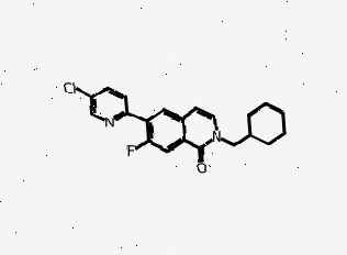 O=c1c2cc(F)c(-c3ccc(Cl)cn3)cc2ccn1CC1CCCCC1